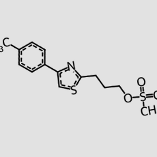 CS(=O)(=O)OCCCc1nc(-c2ccc(C(F)(F)F)cc2)cs1